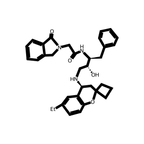 CCc1ccc2c(c1)[C@@H](NC[C@@H](O)[C@H](Cc1ccccc1)NC(=O)CN1Cc3ccccc3C1=O)CC1(CCC1)O2